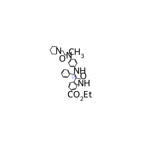 CCOC(=O)c1ccc2c(c1)NC(=O)/C2=C(\Nc1ccc(N(C)C(=O)CN2CCCCC2)cc1)c1ccccc1